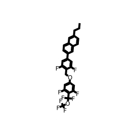 CCCc1ccc2cc(-c3cc(F)c(COc4cc(F)c(C(F)(F)OC(F)(F)F)c(F)c4)c(F)c3)ccc2c1